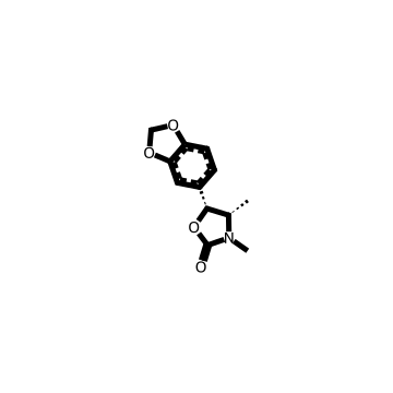 C[C@H]1[C@@H](c2ccc3c(c2)OCO3)OC(=O)N1C